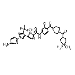 Cn1c(-c2cn(-c3ccc(N)cn3)nc2C(F)(F)F)cnc1C(=O)Nc1ccc(C(=O)N2CCN(C(=O)C3CC[N+](C)(C)CC3)CC2)c(Cl)c1